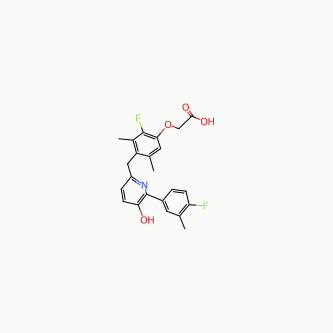 Cc1cc(-c2nc(Cc3c(C)cc(OCC(=O)O)c(F)c3C)ccc2O)ccc1F